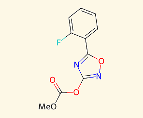 COC(=O)Oc1noc(-c2ccccc2F)n1